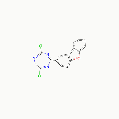 ClC1=NC(c2ccc3oc4ccccc4c3c2)=NC(Cl)=NC1